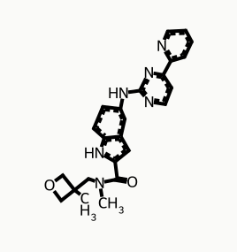 CN(CC1(C)COC1)C(=O)c1cc2cc(Nc3nccc(-c4ccccn4)n3)ccc2[nH]1